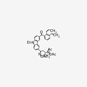 C=Cc1cccc(C(=O)c2ccc3c(c2)c2cc(/C(CC(C)N(OC(C)=O)C(C)=O)=N/OC(C)=O)ccc2n3CC)c1/C=C\C